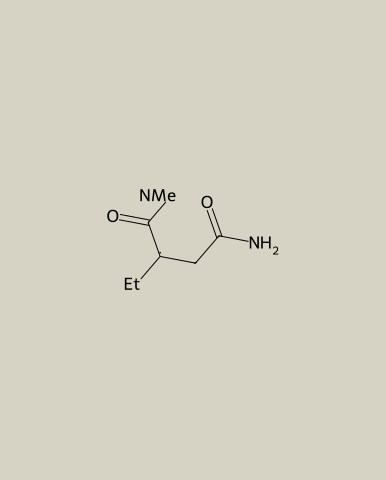 CC[C](CC(N)=O)C(=O)NC